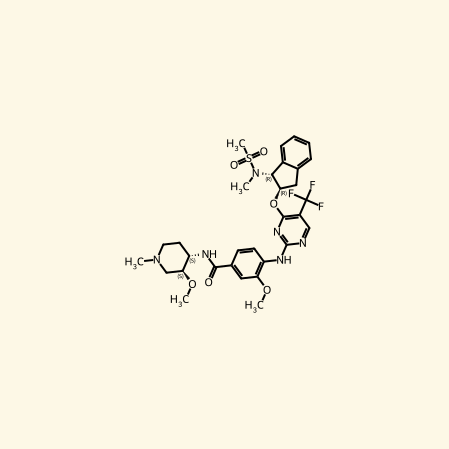 COc1cc(C(=O)N[C@H]2CCN(C)C[C@@H]2OC)ccc1Nc1ncc(C(F)(F)F)c(O[C@@H]2Cc3ccccc3[C@H]2N(C)S(C)(=O)=O)n1